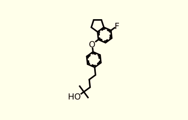 CC(C)(O)CCCc1ccc(Oc2ccc(F)c3c2CCC3)cc1